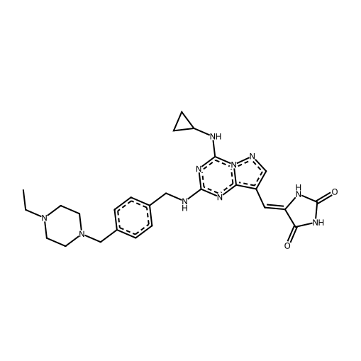 CCN1CCN(Cc2ccc(CNc3nc(NC4CC4)n4ncc(/C=C5\NC(=O)NC5=O)c4n3)cc2)CC1